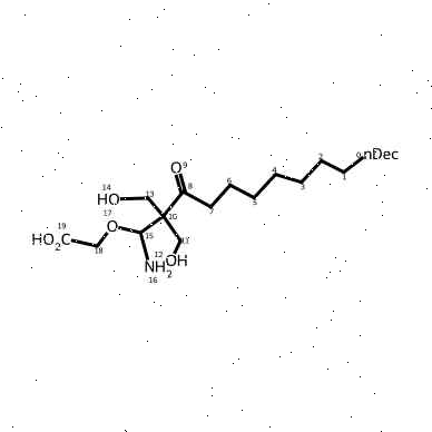 CCCCCCCCCCCCCCCCCC(=O)C(CO)(CO)C(N)OCC(=O)O